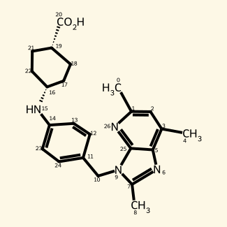 Cc1cc(C)c2nc(C)n(Cc3ccc(N[C@H]4CC[C@@H](C(=O)O)CC4)cc3)c2n1